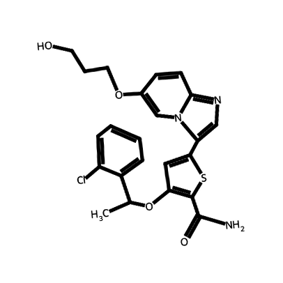 CC(Oc1cc(-c2cnc3ccc(OCCCO)cn23)sc1C(N)=O)c1ccccc1Cl